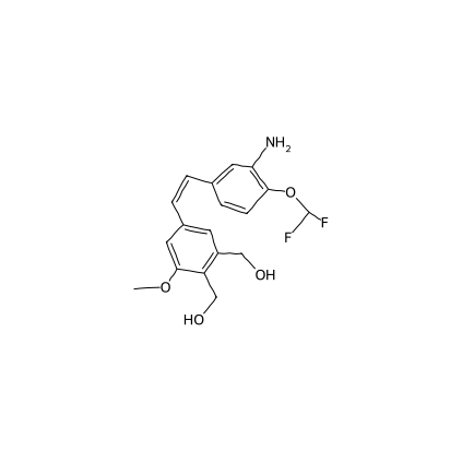 COc1cc(/C=C\c2ccc(OC(F)F)c(N)c2)cc(CO)c1CO